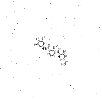 O=C(Nc1cc(F)c(F)c(F)c1)c1cccc2c1OCCN2c1ncc(CO)cc1Cl